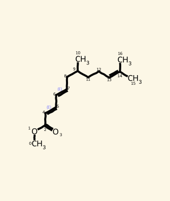 COC(=O)/C=C/C=C/CC(C)CCC=C(C)C